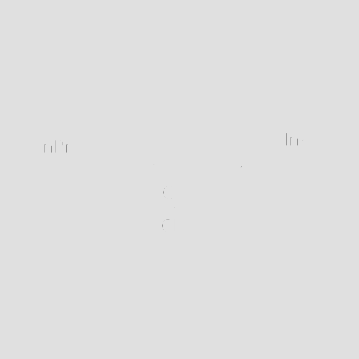 CCCCCC[CH2][In+2].[Cl-].[Cl-]